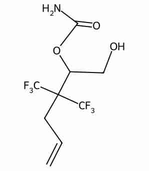 C=CCC(C(CO)OC(N)=O)(C(F)(F)F)C(F)(F)F